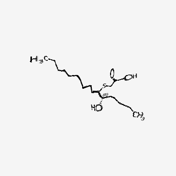 CCCCCCCCC=C(SCC(=O)O)[C@@H](O)CCCC